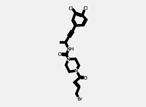 CC(C#Cc1ccc(Cl)c(Cl)c1)NC(=O)N1CCN(C(=O)/C=C/CBr)CC1